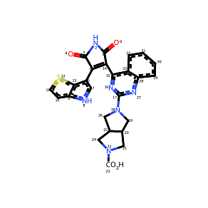 O=C1NC(=O)C(c2c[nH]c3ccsc23)=C1c1nc(N2CC3CN(C(=O)O)CC3C2)nc2ccccc12